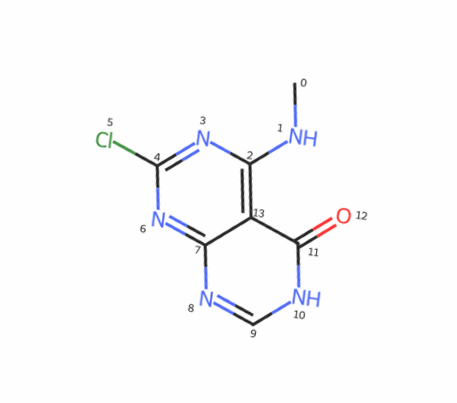 CNc1nc(Cl)nc2nc[nH]c(=O)c12